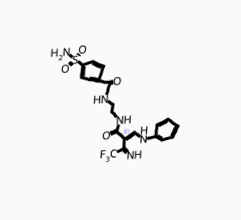 N=C(/C(=C\Nc1ccccc1)C(=O)NCCNC(=O)c1ccc(S(N)(=O)=O)cc1)C(F)(F)F